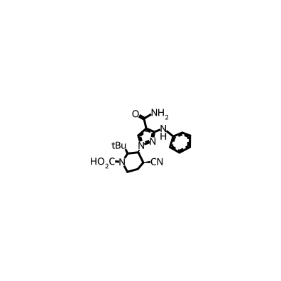 CC(C)(C)C1[C@H](n2cc(C(N)=O)c(Nc3ccccc3)n2)[C@@H](C#N)CCN1C(=O)O